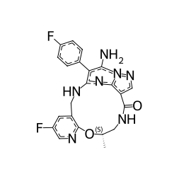 C[C@H]1CNC(=O)c2cnn3c(N)c(-c4ccc(F)cc4)c(nc23)NCc2cc(F)cnc2O1